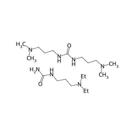 CCN(CC)CCCNC(N)=O.CN(C)CCCNC(=O)NCCCN(C)C